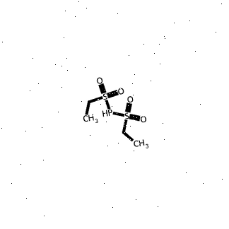 CCS(=O)(=O)PS(=O)(=O)CC